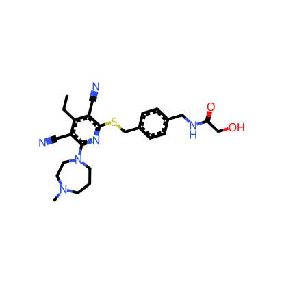 CCc1c(C#N)c(SCc2ccc(CNC(=O)CO)cc2)nc(N2CCCN(C)CC2)c1C#N